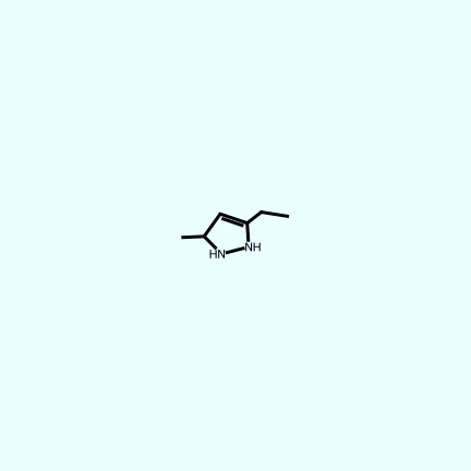 CCC1=CC(C)NN1